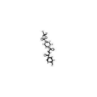 Cc1ccc(C(=O)/C=C/C(=O)N2CCN(C(=O)OC(C)(C)C)CC2)cc1